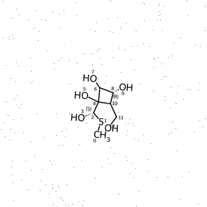 CS[C@H](O)C1(O)C(O)[C@H](O)C1CO